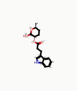 C[C@H]1CC[C@H](OC(=O)CCc2c[nH]c3ccccc23)C(O)O1